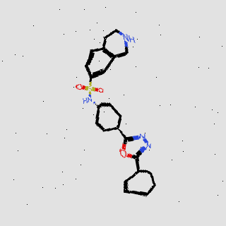 O=S(=O)(N[C@H]1CC[C@H](c2nnc(C3CCCCC3)o2)CC1)c1ccc2c(c1)CNCC2